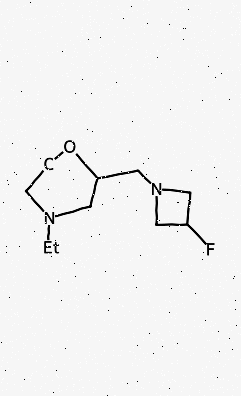 CCN1CCOC(CN2CC(F)C2)C1